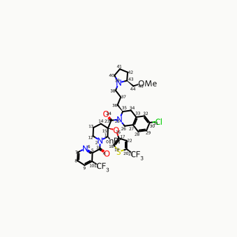 CCC[C@H]1N(C(=O)c2ncccc2C(F)(F)F)CCC[C@]1(Oc1csc(C(F)(F)F)c1)C(=O)N1Cc2ccc(Cl)cc2C[C@@H]1CCCN1CCC[C@H]1COC